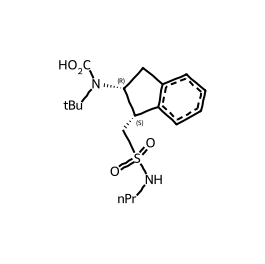 CCCNS(=O)(=O)C[C@H]1c2ccccc2C[C@H]1N(C(=O)O)C(C)(C)C